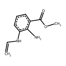 C=CNc1cccc(C(=O)OC)c1N